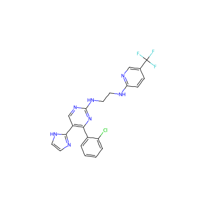 FC(F)(F)c1ccc(NCCNc2ncc(-c3ncc[nH]3)c(-c3ccccc3Cl)n2)nc1